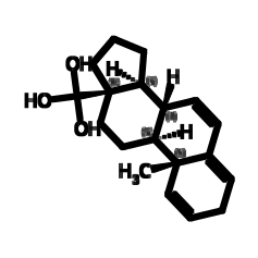 C[C@]12C=CCC=C1C=C[C@H]1[C@@H]3CCC[C@@]3(C(O)(O)O)CC[C@@H]12